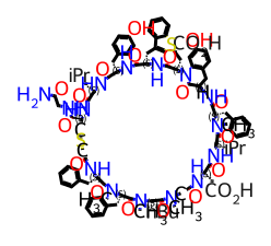 CCCC[C@H]1C(=O)N(C)CC(=O)N[C@@H](CC(=O)O)C(=O)N[C@@H](C(C)C)C(=O)N(C)[C@@H](Cc2ccccc2)C(=O)N[C@H]2Cc3ccc(O)cc3N(C2=O)[C@@H](CCC(=O)O)C(=O)N[C@@H](Cc2csc3ccccc23)C(=O)N[C@@H](Cc2ccc(O)cc2)C(=O)N[C@@H](CC(C)C)C(=O)N[C@H](C(=O)NCC(N)=O)CSCC(=O)N[C@@H](Cc2ccccc2)C(=O)N(C)[C@@H](Cc2ccccc2)C(=O)N1C